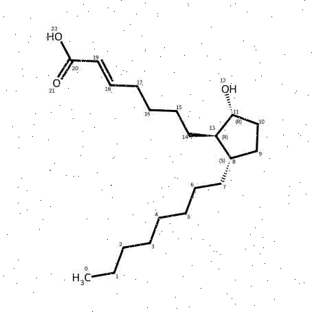 CCCCCCCC[C@H]1CC[C@@H](O)[C@@H]1CCCCC=CC(=O)O